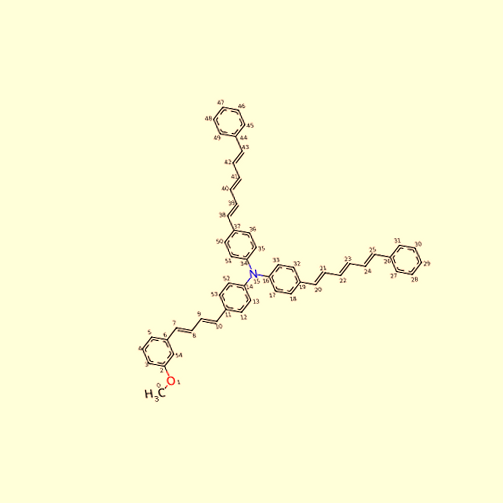 COc1cccc(/C=C/C=C/c2ccc(N(c3ccc(/C=C/C=C/C=C/c4ccccc4)cc3)c3ccc(/C=C/C=C/C=C/c4ccccc4)cc3)cc2)c1